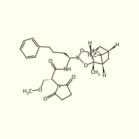 COC[C@H](C(=O)N[C@@H](CCCc1ccccc1)B1O[C@@H]2C[C@@H]3C[C@@H](C3(C)C)[C@]2(C)O1)N1C(=O)CCC1=O